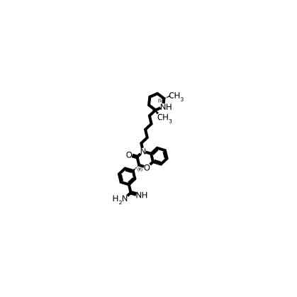 C[C@H]1CCC[C@@](C)(CCCCCN2C(=O)[C@@H](c3cccc(C(=N)N)c3)Oc3ccccc32)N1